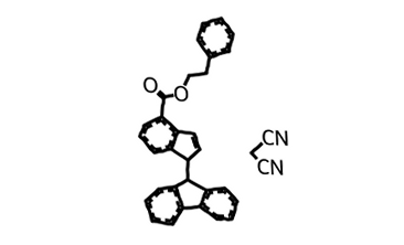 N#CCC#N.O=C(OCCc1ccccc1)c1cccc2c1C=CC2C1c2ccccc2-c2ccccc21